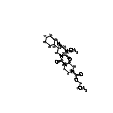 CCOC(=O)N1CCN(C(=O)N(CCC2CCCCC2)C(=O)N(C)C#N)CC1